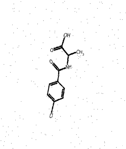 CC(NC(=O)c1ccc(Cl)cc1)C(=O)O